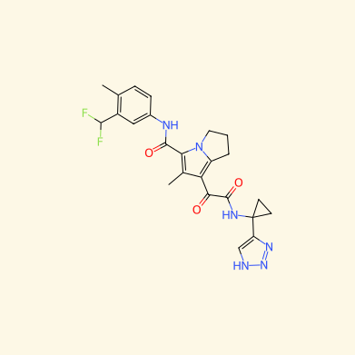 Cc1ccc(NC(=O)c2c(C)c(C(=O)C(=O)NC3(c4c[nH]nn4)CC3)c3n2CCC3)cc1C(F)F